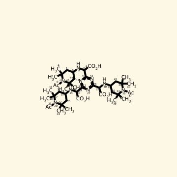 CC(=O)N1C(C)(C)CC(NC(C(=O)O)c2nc(C(NC3CC(C)(C)N(C(C)=O)C(C)(C)C3)C(=O)O)nc(C(NC3CC(C)(C)N(C(C)=O)C(C)(C)C3)C(=O)O)n2)CC1(C)C